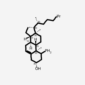 CC(C)CCC[C@@H](C)[C@H]1CC[C@H]2[C@@H]3CC=C4C[C@@H](O)CC(P)[C@]4(C)[C@H]3CC[C@]12C